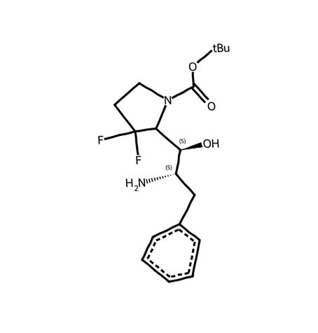 CC(C)(C)OC(=O)N1CCC(F)(F)C1[C@@H](O)[C@@H](N)Cc1ccccc1